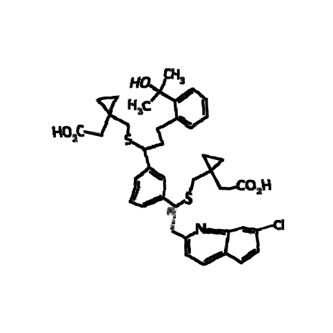 CC(C)(O)c1ccccc1CCC(SCC1(CC(=O)O)CC1)c1cccc([C@@H](Cc2ccc3ccc(Cl)cc3n2)SCC2(CC(=O)O)CC2)c1